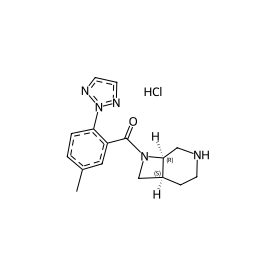 Cc1ccc(-n2nccn2)c(C(=O)N2C[C@@H]3CCNC[C@@H]32)c1.Cl